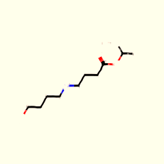 CCCCCCCCC(CCCCC)OC(=O)CCCNCCCCO